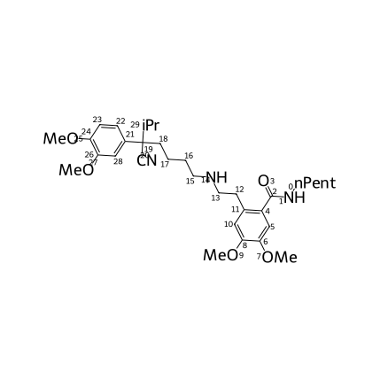 CCCCCNC(=O)c1cc(OC)c(OC)cc1CCNCCCCC(C#N)(c1ccc(OC)c(OC)c1)C(C)C